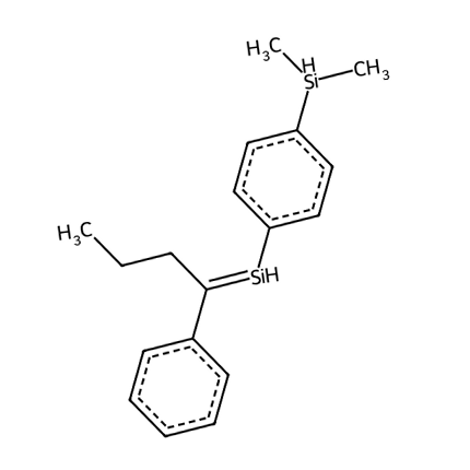 CCC/C(=[SiH]\c1ccc([SiH](C)C)cc1)c1ccccc1